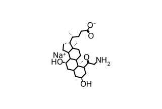 C[C@H](CCC(=O)[O-])[C@H]1CCC2C3C(CC[C@@]21C)[C@]1(C)C(C[C@H](O)CC1C(=O)CN)C[C@H]3O.[Na+]